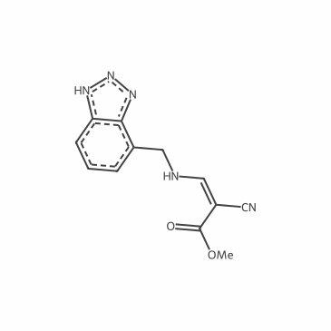 COC(=O)C(C#N)=CNCc1cccc2[nH]nnc12